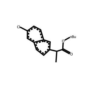 CCCCOC(=O)C(C)c1ccc2cc(Cl)ccc2c1